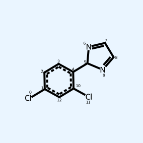 Clc1ccc(C2N=CC=N2)c(Cl)c1